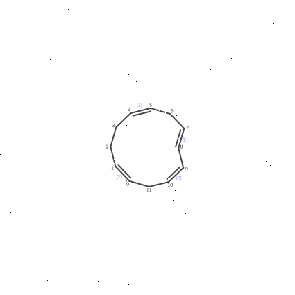 [C]1=C\CC/C=C\C/C=C/C=C\C/1